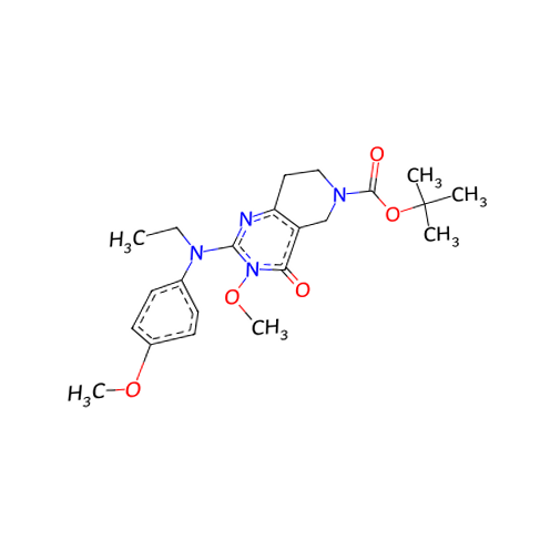 CCN(c1ccc(OC)cc1)c1nc2c(c(=O)n1OC)CN(C(=O)OC(C)(C)C)CC2